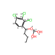 CCCC(OB(O)O)c1ccc(Cl)c(Cl)c1Cl